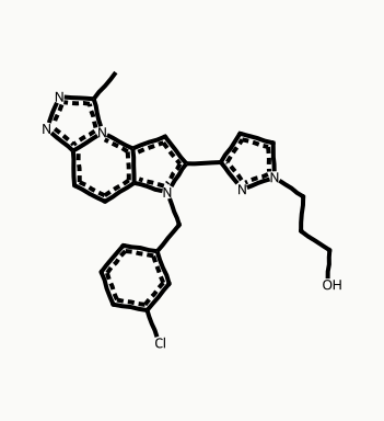 Cc1nnc2ccc3c(cc(-c4ccn(CCCO)n4)n3Cc3cccc(Cl)c3)n12